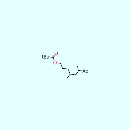 CC(=O)C(C)CC(C)CCCOC(=O)C(C)(C)C